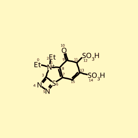 CC[N+]1(CC)C2=NN=S2C2=C1C(=O)C(S(=O)(=O)O)C(S(=O)(=O)O)=C2